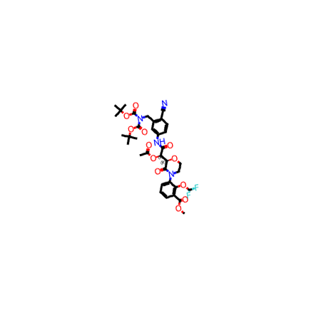 COC(=O)c1cccc(N2CCO[C@H]([C@@H](OC(C)=O)C(=O)Nc3ccc(C#N)c(CN(C(=O)OC(C)(C)C)C(=O)OC(C)(C)C)c3)C2=O)c1OC(F)F